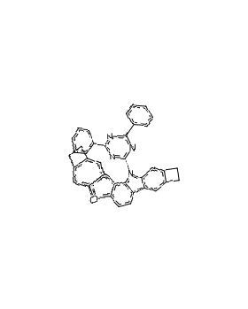 c1ccc(-c2nc(-c3ccccc3)nc(-n3c4cc5c(cc4c4ccc6oc7cc8c(cc7c6c43)CC8)CC5)n2)cc1